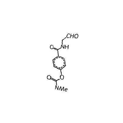 CNC(=O)Oc1ccc(C(=O)NCC=O)cc1